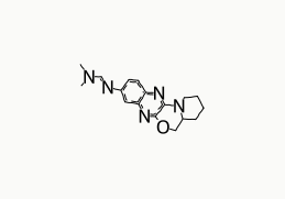 CN(C)C=Nc1ccc2nc3c(nc2c1)OCC1CCCCN31